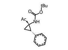 CC(=O)[C@]1(NC(=O)OC(C)(C)C)C[C@H]1c1ccccc1